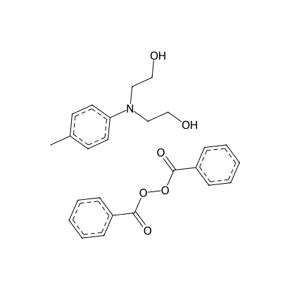 Cc1ccc(N(CCO)CCO)cc1.O=C(OOC(=O)c1ccccc1)c1ccccc1